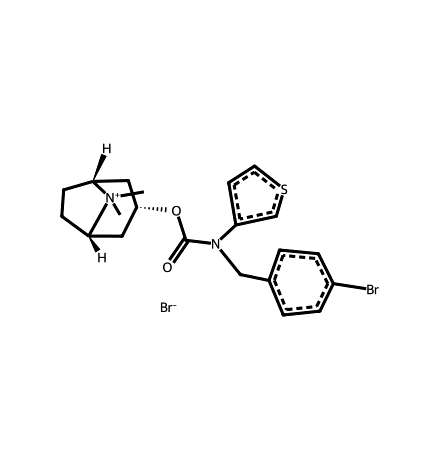 C[N+]1(C)[C@@H]2CC[C@H]1C[C@@H](OC(=O)N(Cc1ccc(Br)cc1)c1ccsc1)C2.[Br-]